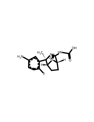 C[C@]1(c2cc(N)ccc2F)N=C(NC(=O)O)[C@@H]2CC[C@H]1S2(=O)=O